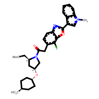 COC[C@@H]1C[C@@H](O[C@H]2CC[C@H](C(=O)O)CC2)CN1C(=O)Cc1ccc2nc(-c3cn(C)c4ccccc34)oc2c1F